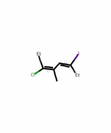 CC/C(I)=C\C(C)=C(\Cl)CC